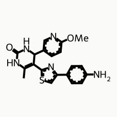 COc1ccc(C2NC(=O)NC(C)=C2c2nc(-c3ccc(N)cc3)cs2)cn1